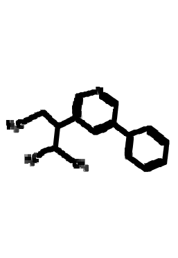 CCC(c1cncc(-c2ccccc2)c1)C(C)C